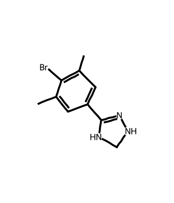 Cc1cc(C2=NNCN2)cc(C)c1Br